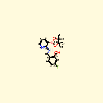 CC1(C)OB(c2cccnc2NCc2ccc(F)cc2O)OC1(C)C